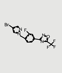 Fc1cc(-c2noc(C(F)(F)F)n2)ccc1Cn1cc(Br)cn1